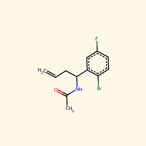 C=CCC(NC(C)=O)c1cc(F)ccc1Br